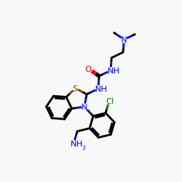 CN(C)CCNC(=O)NC1Sc2ccccc2N1c1c(Cl)cccc1CN